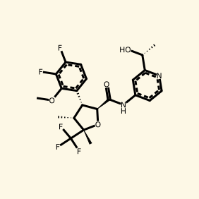 COc1c([C@@H]2[C@@H](C(=O)Nc3ccnc([C@@H](C)O)c3)O[C@](C)(C(F)(F)F)[C@@H]2C)ccc(F)c1F